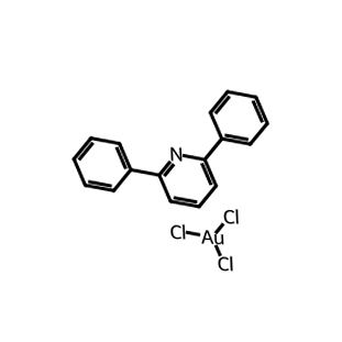 [Cl][Au]([Cl])[Cl].c1ccc(-c2cccc(-c3ccccc3)n2)cc1